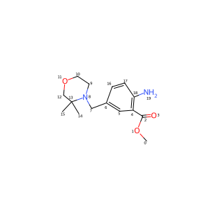 COC(=O)c1cc(CN2CCOCC2(C)C)ccc1N